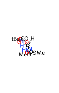 COc1cc(OC)c2c(=O)[nH]c(-c3cc(C)c(OCCC(NC(=O)OC(C)(C)C)C(=O)O)c(C)c3)nc2c1